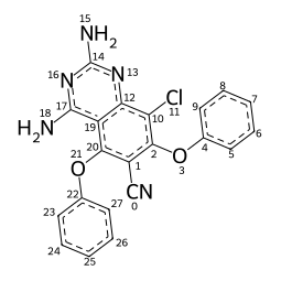 N#Cc1c(Oc2ccccc2)c(Cl)c2nc(N)nc(N)c2c1Oc1ccccc1